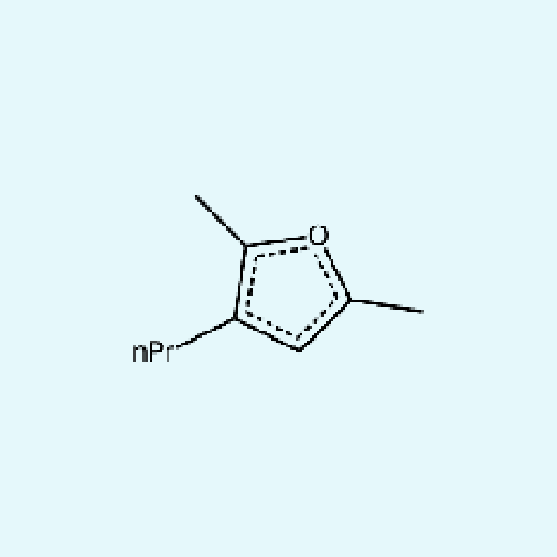 CCCc1cc(C)oc1C